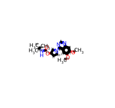 COc1cc2ncnc(N3CCC(OC(=O)NC(C)(C)C)C3)c2cc1OC